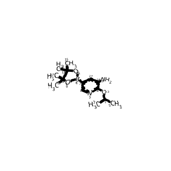 CC(C)Oc1ncc(B2OC(C)(C)C(C)(C)O2)cc1N